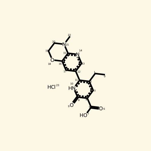 CCc1cc(C(=O)O)c(=O)[nH]c1-c1cnc2c(c1)OCCN2C.Cl